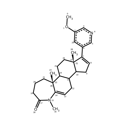 COc1cncc(C2=CCC3C4CC=C5N(C)C(=O)CCC[C@]5(C)C4CC[C@]23C)c1